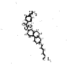 CCCCCC[C@@H]1CCC2C(CCC3C[C@H](OS(=O)(=O)c4ccc(C)cc4)CCC32)C1